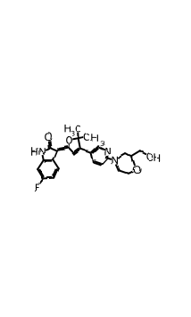 CC1(C)OC(=C2C(=O)Nc3cc(F)ccc32)C=C1c1ccc(N2CCOC(CO)C2)nc1